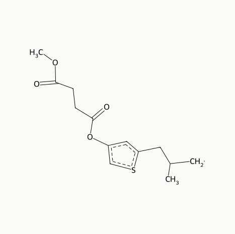 [CH2]C(C)Cc1cc(OC(=O)CCC(=O)OC)cs1